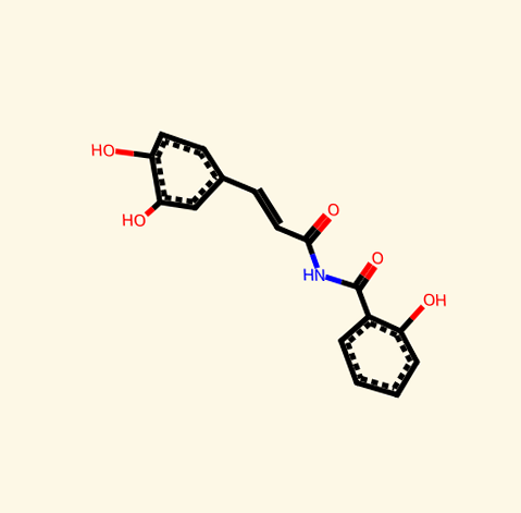 O=C(/C=C/c1ccc(O)c(O)c1)NC(=O)c1ccccc1O